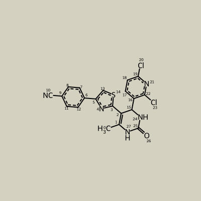 CC1=C(c2nc(-c3ccc(C#N)cc3)cs2)C(c2ccc(Cl)nc2Cl)NC(=O)N1